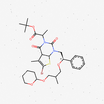 CC1=C(Br)SC2C1C(=O)N(C(C)C(=O)OC(C)(C)C)C(=O)N2C[C@H](OCC(C)COC1CCCCO1)c1ccccc1